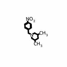 CC1CC(C)CN(Cc2ccc([N+](=O)[O-])cc2)C1